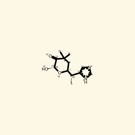 C[C@@H](c1cnc[nH]1)C1CC(C)(C)C(=O)[C@@H](O)O1